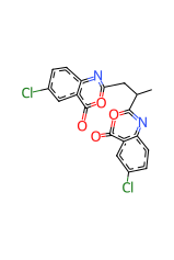 CC(Cc1nc2ccc(Cl)cc2c(=O)o1)c1nc2ccc(Cl)cc2c(=O)o1